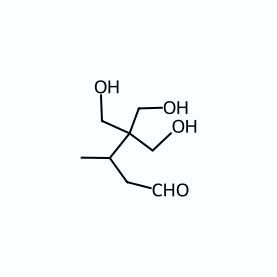 CC(CC=O)C(CO)(CO)CO